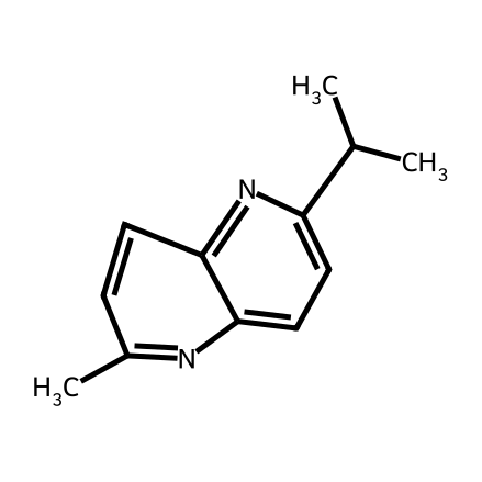 Cc1ccc2nc(C(C)C)ccc2n1